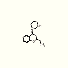 C1CCNCC1.CCC1CC(=O)c2ccccc2O1